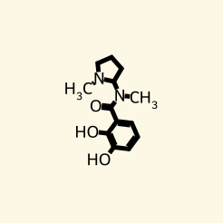 CN1CCCC1N(C)C(=O)c1cccc(O)c1O